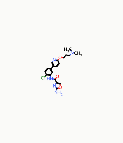 CN(C)CCCOc1ccc(-c2ccc(Cl)c(NC(=O)c3coc(N)n3)c2)cn1